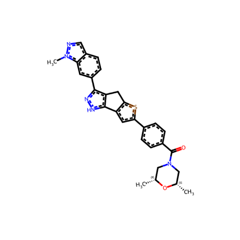 C[C@@H]1CN(C(=O)c2ccc(-c3cc4c(s3)Cc3c(-c5ccc6cnn(C)c6c5)n[nH]c3-4)cc2)C[C@H](C)O1